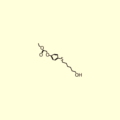 CCOC(=O)COc1ccc(SCCCCCCO)cc1